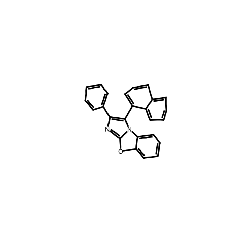 c1ccc(-c2nc3oc4ccccc4n3c2-c2cccc3ccccc23)cc1